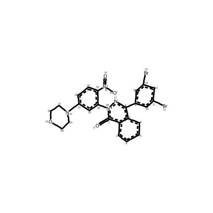 O=c1c2ccccc2c(-c2cc(Br)cc(Br)c2)nn1-c1cc(N2CCOCC2)ccc1[N+](=O)[O-]